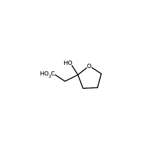 O=C(O)CC1(O)CCCO1